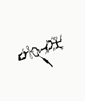 CC#C[C@H]1CN(S(=O)(=O)c2cccs2)CCN1c1ncc(C(O)(CF)C(F)F)cn1